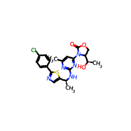 Cc1cc(N2C(=O)OCC2[C@@H](C)O)nc(N[C@@H](C)c2cnc(-c3ccc(Cl)cc3)s2)n1